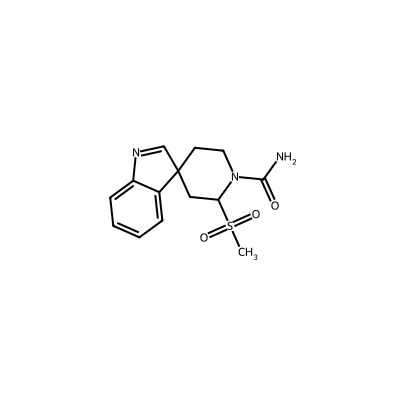 CS(=O)(=O)C1CC2(C=Nc3ccccc32)CCN1C(N)=O